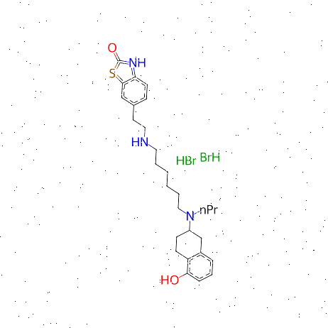 Br.Br.CCCN(CCCCCCNCCc1ccc2[nH]c(=O)sc2c1)C1CCc2c(O)cccc2C1